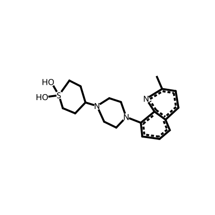 Cc1ccc2cccc(N3CCN(C4CCS(O)(O)CC4)CC3)c2n1